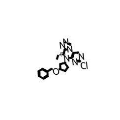 CC[C@@H]1c2nncn2-c2cnc(Cl)nc2N1C1CCC(OCc2ccccc2)C1